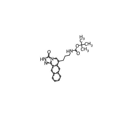 CC(C)(C)OC(=O)NCCCc1cn2c(=O)[nH]nc2c2cc3ccccc3cc12